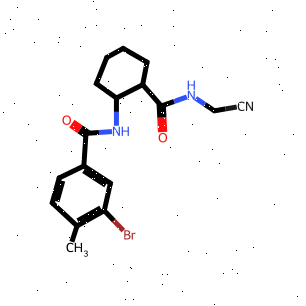 Cc1ccc(C(=O)NC2CCCCC2C(=O)NCC#N)cc1Br